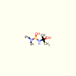 CC(C)N(C(C)C)P(O)NC(C)(C)O